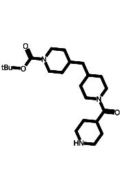 CC(C)(C)OC(=O)N1CCC(CC2CCN(C(=O)C3CCNCC3)CC2)CC1